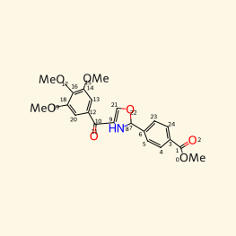 COC(=O)c1ccc(C2NC(C(=O)c3cc(OC)c(OC)c(OC)c3)=CO2)cc1